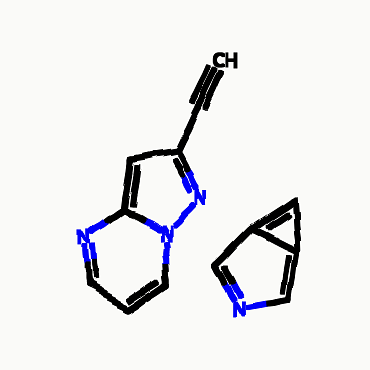 C#Cc1cc2ncccn2n1.c1ncc2cc1-2